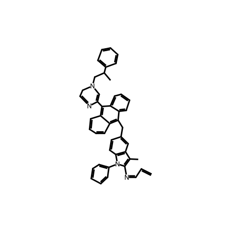 C=C/C=N\c1c(C)c2cc(Cc3c4ccccc4c(C4=CN(CC(C)c5ccccc5)CC=N4)c4ccccc34)ccc2n1-c1ccccc1